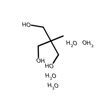 CC(CO)(CO)CO.O.O.O.O